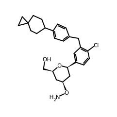 NO[C@H]1C[C@@H](CO)O[C@@H](c2ccc(Cl)c(Cc3ccc(C4CCC5(CC4)CC5)cc3)c2)C1